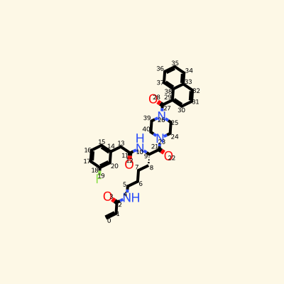 C=CC(=O)NCCCC[C@H](NC(=O)Cc1cccc(F)c1)C(=O)N1CCN(C(=O)c2cccc3ccccc23)CC1